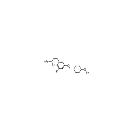 CCCC1CCc2cc(OCC3CCC(OCC)CC3)cc(F)c2O1